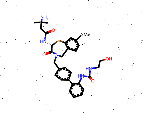 CSc1ccc2c(c1)S[C@@H](NC(=O)CC(C)(C)N)C(=O)N(Cc1ccc(-c3ccccc3NC(=O)NCCO)cc1)C2